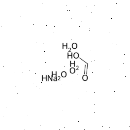 O.O.O.O=CO.[NaH]